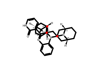 CC1(C)[C@H]2CC[C@@H](CCN3[C@@H]4CCC[C@H]3CC(n3c(=O)c(-c5ccc[nH]c5=O)nc5ccccc53)C4)[C@H]1C2